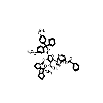 COc1ccc(C(OC[C@H]2O[C@@H](n3cnc4c(NC(=O)c5ccccc5)ncnc43)[C@H](OC)[C@@H]2O[P@]2O[C@](C)(C3CCCC3)[C@@H]3CCCN32)(c2ccccc2)c2ccc(OC)cc2)cc1